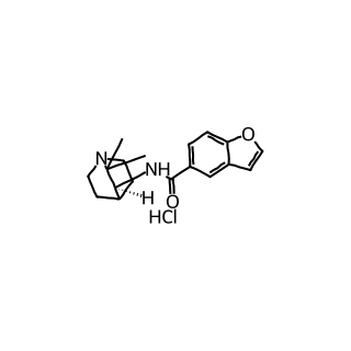 CC1(C)[C@@H](NC(=O)c2ccc3occc3c2)C2CCN1CC2.Cl